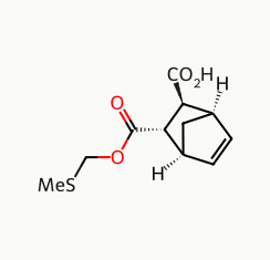 CSCOC(=O)[C@@H]1[C@@H](C(=O)O)[C@H]2C=C[C@@H]1C2